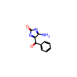 NC1=NC(=O)N=C1C(=O)c1ccccc1